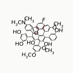 COc1cc(O)c(-c2c(O)c(-c3cccc(O)c3)c(-c3cc(OC)ccc3-c3ccco3)c3c(-c4ccc(F)cc4)c(-c4ccc(N(C)C)cc4)c(-c4cc(O)cc(O)c4)cc23)c(OC)c1